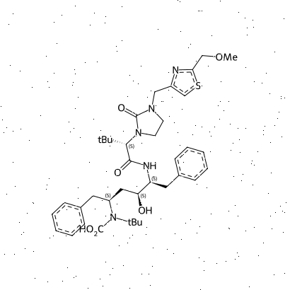 COCc1nc(CN2CCN([C@H](C(=O)N[C@@H](Cc3ccccc3)[C@@H](O)C[C@H](Cc3ccccc3)N(C(=O)O)C(C)(C)C)C(C)(C)C)C2=O)cs1